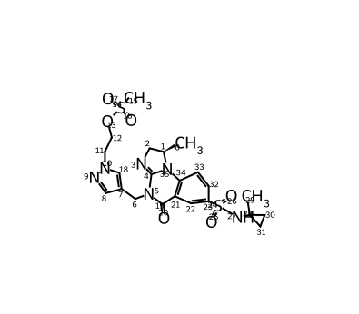 C[C@@H]1CN=C2N(Cc3cnn(CCOS(C)(=O)=O)c3)C(=O)c3cc(S(=O)(=O)NC4(C)CC4)ccc3N21